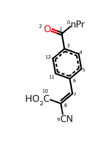 CCCC(=O)c1ccc(C=C(C#N)C(=O)O)cc1